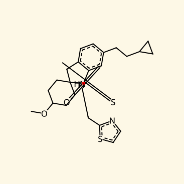 COC1CCC2(CC1)Cc1ccc(CCC3CC3)cc1C21NC(=S)N(Cc2nccs2)C1=O